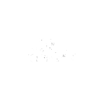 Fc1cccc(Cl)c1C1Nc2cnc(N3CCOCC3)cc2-n2ncc(Cl)c2N1